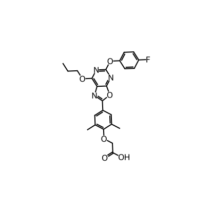 CCCOc1nc(Oc2ccc(F)cc2)nc2oc(-c3cc(C)c(OCC(=O)O)c(C)c3)nc12